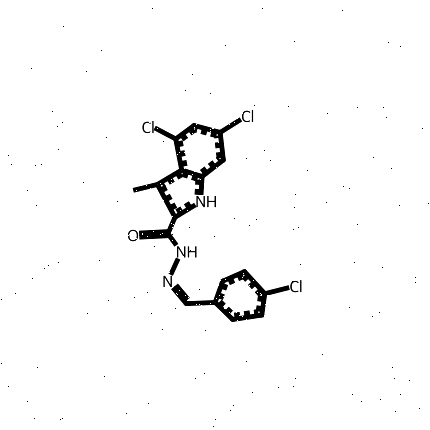 Cc1c(C(=O)N/N=C\c2ccc(Cl)cc2)[nH]c2cc(Cl)cc(Cl)c12